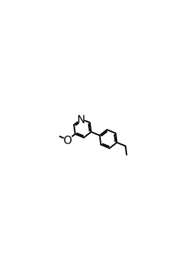 CCc1ccc(-c2cncc(OC)c2)cc1